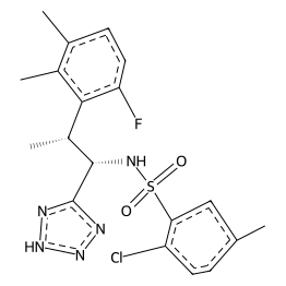 Cc1ccc(Cl)c(S(=O)(=O)N[C@H](c2nn[nH]n2)[C@H](C)c2c(F)ccc(C)c2C)c1